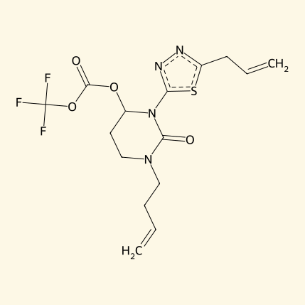 C=CCCN1CCC(OC(=O)OC(F)(F)F)N(c2nnc(CC=C)s2)C1=O